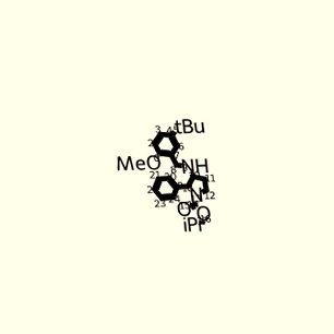 COc1ccc(C(C)(C)C)cc1CNC1CCN(C(=O)OC(C)C)C1c1ccccc1